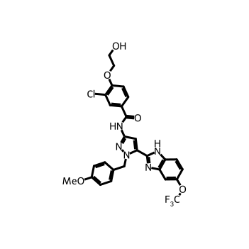 COc1ccc(Cn2nc(NC(=O)c3ccc(OCCO)c(Cl)c3)cc2-c2nc3cc(OC(F)(F)F)ccc3[nH]2)cc1